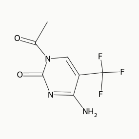 CC(=O)n1cc(C(F)(F)F)c(N)nc1=O